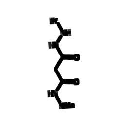 CNNC(=O)CC(=O)NNC(C)C